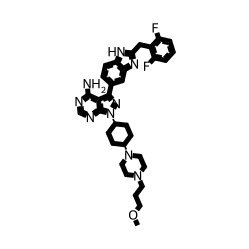 COCCCN1CCN([C@H]2CC[C@@H](n3nc(-c4ccc5[nH]c(Cc6c(F)cccc6F)nc5c4)c4c(N)ncnc43)CC2)CC1